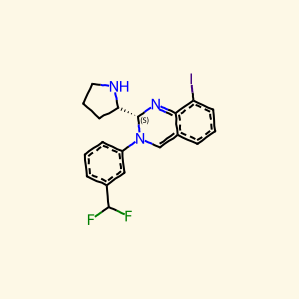 FC(F)c1cccc(N2C=c3cccc(I)c3=N[C@H]2C2CCCN2)c1